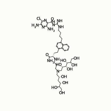 N=C(NCCCCc1ccc(CC[C@H](NCCCN(C[C@H](O)C[C@H](O)[C@H](O)CO)C[C@H](O)[C@@H](O)[C@H](O)[C@H](O)CO)C(N)=O)c2ccccc12)NC(=O)c1nc(Cl)c(N)nc1N